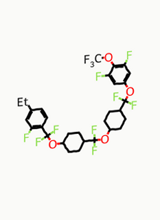 CCc1ccc(C(F)(F)OC2CCC(C(F)(F)OC3CCC(C(F)(F)Oc4cc(F)c(OC(F)(F)F)c(F)c4)CC3)CC2)c(F)c1